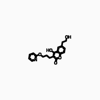 O=c1oc2ccc(CCO)cc2c(O)c1CCCOc1ccccn1